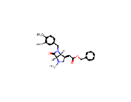 COc1ccc(CN2C(=O)[C@@H]3[C@H]2/C(=C/C(=O)OCc2ccccc2)CN3C(=O)O)cc1OC